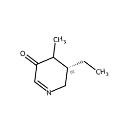 CC[C@@H]1CN=CC(=O)C1C